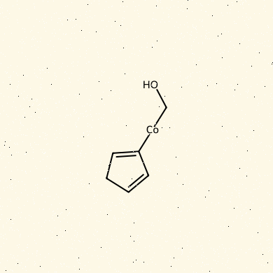 O[CH2][Co][C]1=CCC=C1